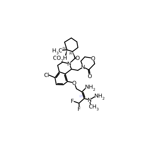 CN(N)/C(=C(\N)COc1ccc(Cl)c2c1C(CN1CCOCC1=O)N(C(=O)[C@@H]1CCCC[C@]1(C)C(=O)O)CC2)C(F)F